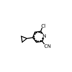 N#Cc1cc(C2CC2)cc(Cl)n1